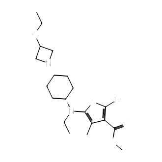 CCOC1CN([C@H]2CC[C@H](N(CC)c3sc(Br)c(C(=O)OC)c3C)CC2)C1